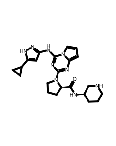 O=C(N[C@@H]1CCCNC1)[C@H]1CCCN1c1nc(Nc2cc(C3CC3)[nH]n2)n2cccc2n1